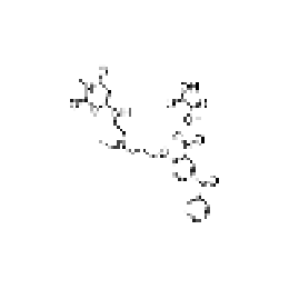 CCN(CCCOc1ccc(C(=O)c2ccccc2)cc1[N+](=O)[O-])CCNc1cc(=O)n(C)c(=O)n1C.O=C(O)C(=O)O